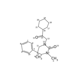 CN1CC(C)(c2ccccc2)CN(CC(=O)C2CCCCC2)C1=O